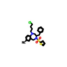 N#Cc1ccc2c(c1)CN(S(=O)(=O)c1cccs1)C(Cc1ccccc1)CN2CCCCCl